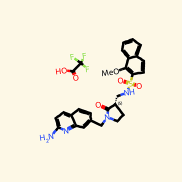 COc1c(S(=O)(=O)NC[C@@H]2CCN(Cc3ccc4ccc(N)nc4c3)C2=O)ccc2ccccc12.O=C(O)C(F)(F)F